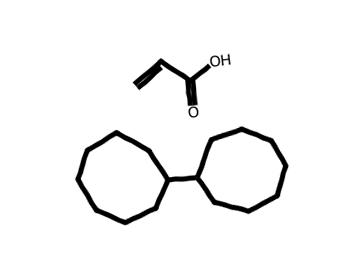 C1CCCC(C2CCCCCCC2)CCC1.C=CC(=O)O